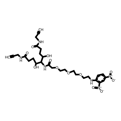 C#CCNC(=O)CCC(O)C(NC(=O)COCCOCCOCCNc1ccc([N+](=O)[O-])cc1[N+](=O)[O-])C(O)CCC(=O)NCC#C